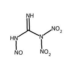 N=C(NN=O)N([N+](=O)[O-])[N+](=O)[O-]